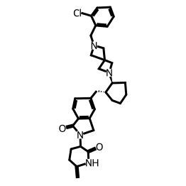 C=C1CCC(N2Cc3cc(C[C@H]4CCCC[C@@H]4N4CC5(CN(Cc6ccccc6Cl)C5)C4)ccc3C2=O)C(=O)N1